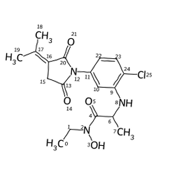 CCN(O)C(=O)C(C)Nc1cc(N2C(=O)CC(=C(C)C)C2=O)ccc1Cl